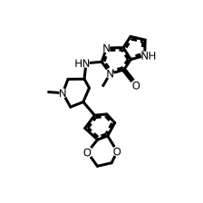 CN1CC(Nc2nc3cc[nH]c3c(=O)n2C)CC(c2ccc3c(c2)OCCO3)C1